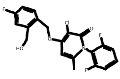 Cc1cc(OCc2ccc(F)cc2CO)c(Cl)c(=O)n1-c1c(F)cccc1F